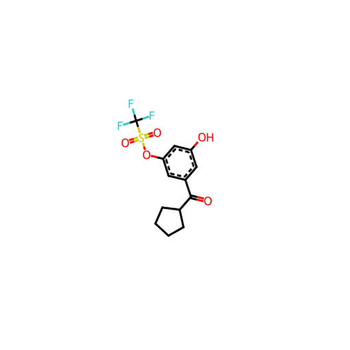 O=C(c1cc(O)cc(OS(=O)(=O)C(F)(F)F)c1)C1CCCC1